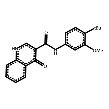 COc1cc(NC(=O)c2c[nH]c3ccccc3c2=O)ccc1C(C)(C)C